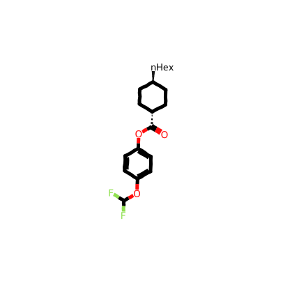 CCCCCC[C@H]1CC[C@H](C(=O)Oc2ccc(OC(F)F)cc2)CC1